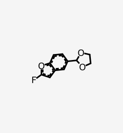 Fc1cc2cc(C3OCCO3)ccc2o1